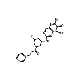 CC(C)n1c(=O)c(Br)nc2cnc(N[C@H]3C[C@H](F)CN(C(=O)OCc4ccccc4)C3)nc21